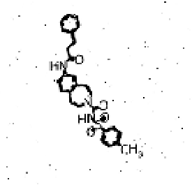 Cc1ccc(S(=O)(=O)NC(=O)N2CCc3ccc(NC(=O)CCc4ccccc4)cc3CC2)cc1